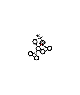 CC(C)(O)c1ccc(-n2c3ccccc3c3ccccc32)cc1-c1ccccc1-c1cc(-n2c3ccccc3c3ccccc32)ccc1C(C)(C)O